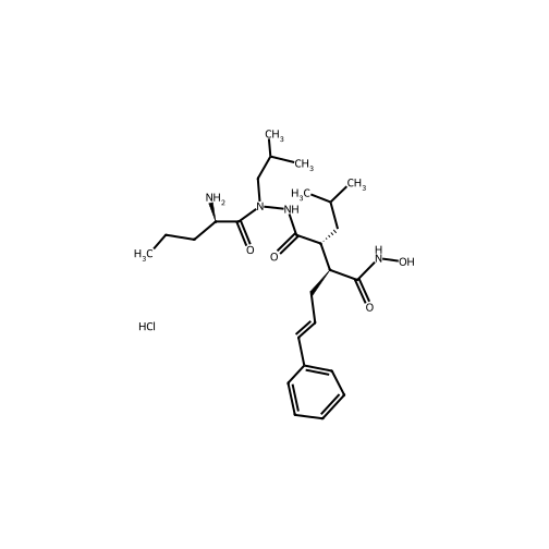 CCC[C@@H](N)C(=O)N(CC(C)C)NC(=O)[C@H](CC(C)C)[C@H](CC=Cc1ccccc1)C(=O)NO.Cl